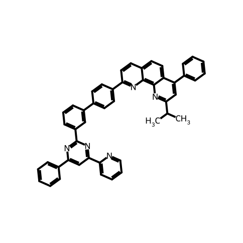 CC(C)c1cc(-c2ccccc2)c2ccc3ccc(-c4ccc(-c5cccc(-c6nc(-c7ccccc7)cc(-c7ccccn7)n6)c5)cc4)nc3c2n1